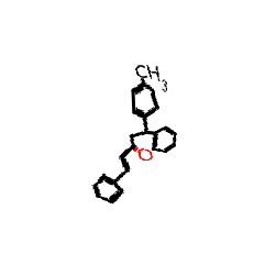 Cc1ccc(C(CC(=O)C=Cc2ccccc2)c2ccccc2)cc1